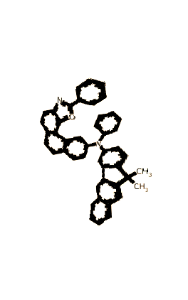 CC1(C)c2ccc(N(c3ccccc3)c3ccc4ccc5ccc6nc(-c7ccccc7)oc6c5c4c3)cc2-c2cc3ccccc3cc21